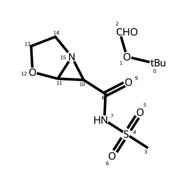 CC(C)(C)OC=O.CS(=O)(=O)NC(=O)C1C2OCCN21